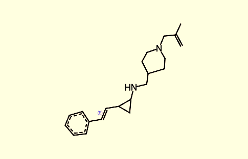 C=C(C)CN1CCC(CNC2CC2/C=C/c2ccccc2)CC1